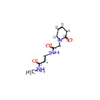 CNC(=O)CCNC(=O)CN1CCCCC1=O